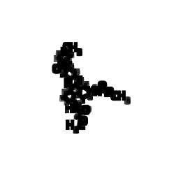 COCC(=O)NCc1cccc(-c2nc3ccc(C(=O)N4CCN(C)CC4)cc3nc2-c2cccc(CNC(=O)COC)c2)c1